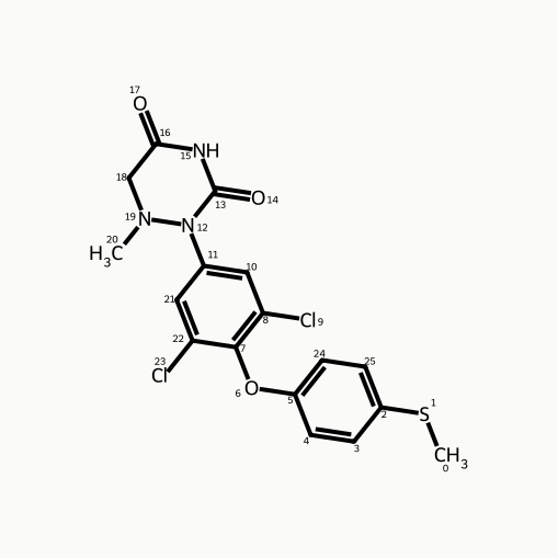 CSc1ccc(Oc2c(Cl)cc(N3C(=O)NC(=O)CN3C)cc2Cl)cc1